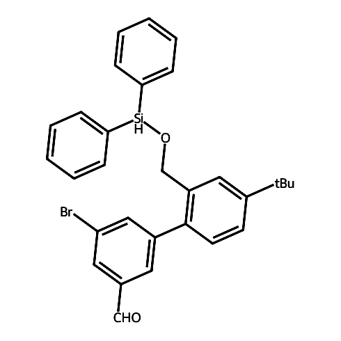 CC(C)(C)c1ccc(-c2cc(Br)cc(C=O)c2)c(CO[SiH](c2ccccc2)c2ccccc2)c1